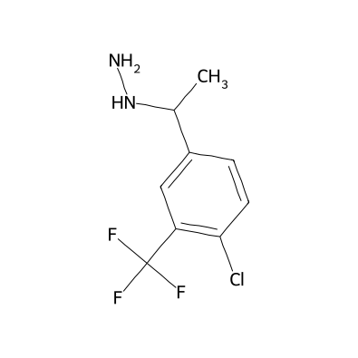 CC(NN)c1ccc(Cl)c(C(F)(F)F)c1